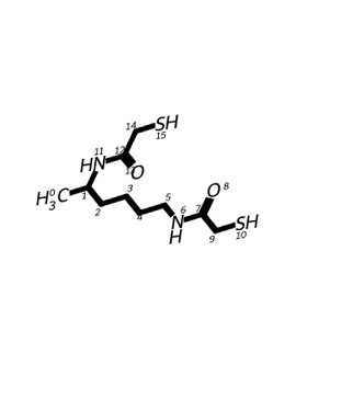 CC(CCCCNC(=O)CS)NC(=O)CS